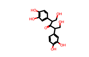 O=C(C(CO)c1ccc(O)c(O)c1)C(CO)c1ccc(O)c(O)c1